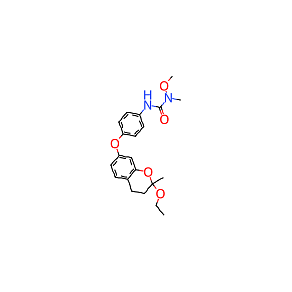 CCOC1(C)CCc2ccc(Oc3ccc(NC(=O)N(C)OC)cc3)cc2O1